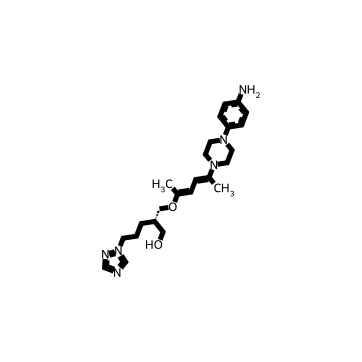 C/C(=C\C=C(/C)N1CCN(c2ccc(N)cc2)CC1)OC[C@H](CO)CCCn1cncn1